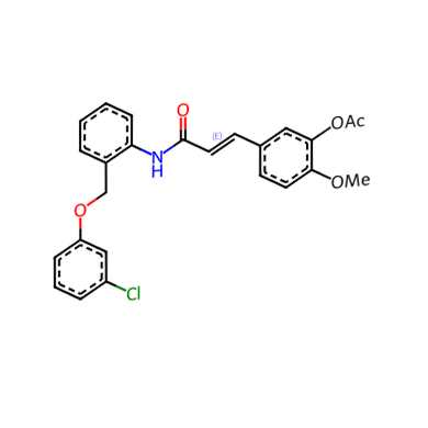 COc1ccc(/C=C/C(=O)Nc2ccccc2COc2cccc(Cl)c2)cc1OC(C)=O